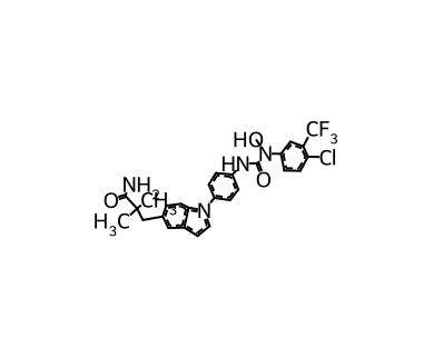 CC(C)(Cc1ccc2c(ccn2-c2ccc(NC(=O)N(O)c3ccc(Cl)c(C(F)(F)F)c3)cc2)c1)C(N)=O